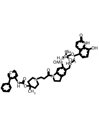 COc1cc2c(cc1CNC[C@H](O[Si](C)(C)C(C)(C)C)c1ccc(O)c3[nH]c(=O)ccc13)CCN2C(=O)CCN1CCC(C)(OC(=O)Nc2ccccc2-c2ccccc2)CC1